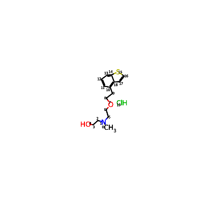 CN(CCO)CCOCCc1cccc2sccc12.Cl